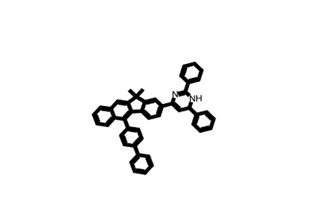 CC1(C)c2cc(C3=CC(c4ccccc4)NC(C4=CCCC=C4)=N3)ccc2-c2c1cc1ccccc1c2-c1ccc(-c2ccccc2)cc1